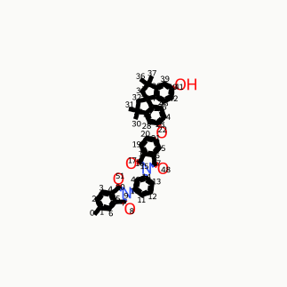 Cc1ccc2c(c1)C(=O)N(c1cccc(N3C(=O)c4ccc(Oc5ccc6c(c5)C(C)(C)CC65CC(C)(C)c6cc(O)ccc65)cc4C3=O)c1)C2=O